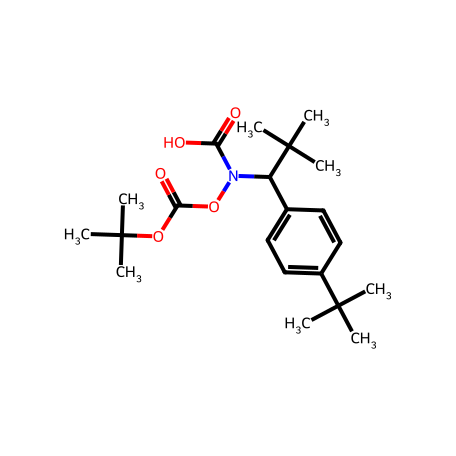 CC(C)(C)OC(=O)ON(C(=O)O)C(c1ccc(C(C)(C)C)cc1)C(C)(C)C